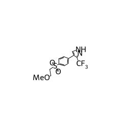 COCCS(=O)(=O)c1ccc(-c2c[nH]nc2C(F)(F)F)cc1